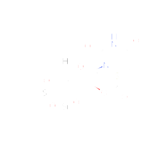 CC(C)[Si]1(C(C)C)OC[C@H]2O[C@@H](n3ccc(=O)[nH]c3=O)[C@@H](OC(=O)SC(C)(C)C)C2O[Si](C(C)C)(C(C)C)O1